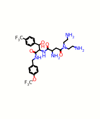 NCCN(CCN)C(=O)CC(N)C(=O)NC(C(=O)NCc1ccc(OC(F)(F)F)cc1)C(O)c1ccc(C(F)(F)F)cc1